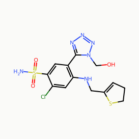 NS(=O)(=O)c1cc(-c2nnnn2CO)c(NCC2=CCCS2)cc1Cl